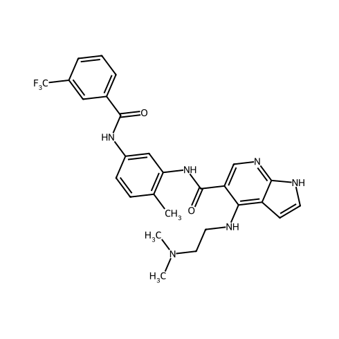 Cc1ccc(NC(=O)c2cccc(C(F)(F)F)c2)cc1NC(=O)c1cnc2[nH]ccc2c1NCCN(C)C